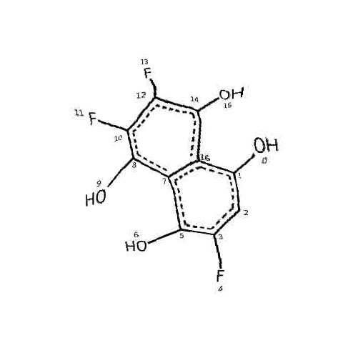 Oc1cc(F)c(O)c2c(O)c(F)c(F)c(O)c12